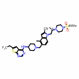 CNS(=O)(=O)N1CCN([C@H](C)Cn2c(C#N)cc3c(C)c(CN4CCC(Nc5ncnc6sc(CC(F)(F)F)cc56)CC4)ccc32)CC1